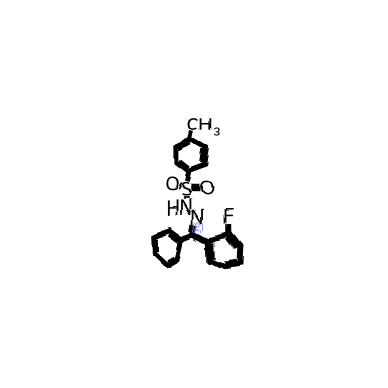 Cc1ccc(S(=O)(=O)N/N=C(\c2ccccc2)c2ccccc2F)cc1